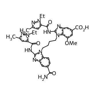 CCn1nc(C)cc1C(=O)Nc1nc2cc(C(N)=O)ccc2n1CCCCn1c(NC(=O)c2cc(C)nn2CC)nc2cc(C(=O)O)cc(OC)c21